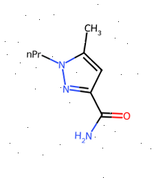 CCCn1nc(C(N)=O)cc1C